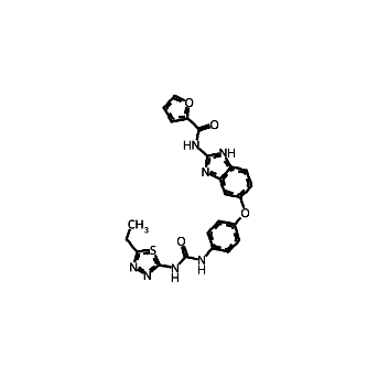 CCc1nnc(NC(=O)Nc2ccc(Oc3ccc4[nH]c(NC(=O)c5ccco5)nc4c3)cc2)s1